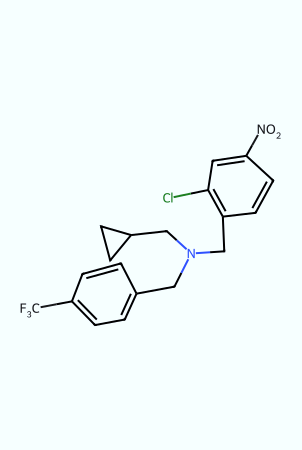 O=[N+]([O-])c1ccc(CN(Cc2ccc(C(F)(F)F)cc2)CC2CC2)c(Cl)c1